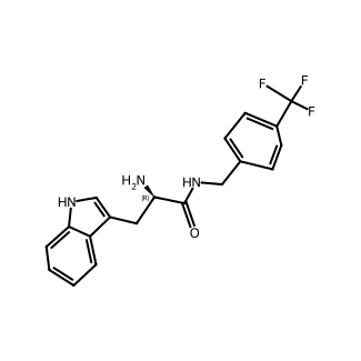 N[C@H](Cc1c[nH]c2ccccc12)C(=O)NCc1ccc(C(F)(F)F)cc1